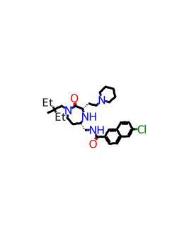 CCC(C)(CC)CN1CC[C@@H](CNC(=O)c2ccc3cc(Cl)ccc3c2)N[C@@H](CCN2CCCCC2)C1=O